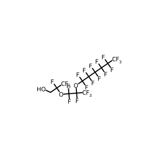 OCC(F)(OC(F)(F)C(F)(OC(F)(F)C(F)(F)C(F)(F)C(F)(F)C(F)(F)C(F)(F)F)C(F)(F)F)C(F)(F)F